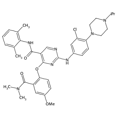 COc1ccc(Oc2nc(Nc3ccc(N4CCN(C(C)C)CC4)c(Cl)c3)ncc2C(=O)Nc2c(C)cccc2C)c(C(=O)N(C)C)c1